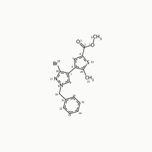 COC(=O)c1cc(-c2cn(Cc3ccccc3)nc2Br)c(C)s1